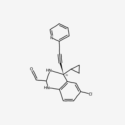 O=CC1Nc2ccc(Cl)cc2[C@@](C#Cc2ccccn2)(C2CC2)N1